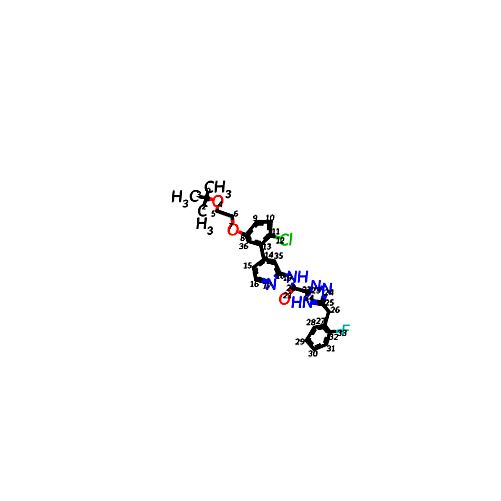 CC(C)(C)OCCOc1ccc(Cl)c(-c2ccnc(NC(=O)c3nnc(Cc4ccccc4F)[nH]3)c2)c1